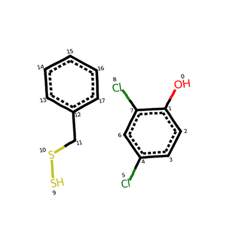 Oc1ccc(Cl)cc1Cl.SSCc1ccccc1